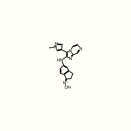 Cn1cc(-c2c(Nc3ccc4c(c3)CC/C4=N\O)nc3cnccn23)cn1